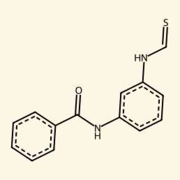 O=C(Nc1cccc(NC=S)c1)c1ccccc1